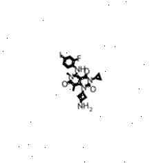 Cc1c(=O)n(C)c(Nc2ccc(I)cc2F)c2c(=O)n(C3CC3)c(=O)n(C34CC(N)(C3)C4)c12